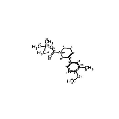 COc1ncc(C2=CCCN(C(=O)OC(C)(C)C)C2)cc1C